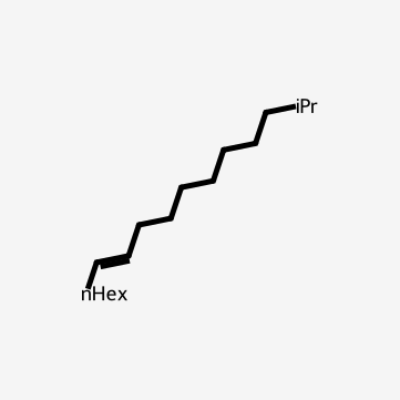 CCCCCCC=CCCCCCCCC(C)C